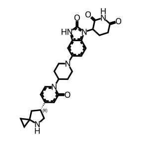 O=C1CCC(n2c(=O)[nH]c3cc(N4CCC(n5ccc([C@@H]6CNC7(CC7)C6)cc5=O)CC4)ccc32)C(=O)N1